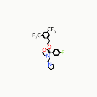 Fc1ccc([C@H]2[C@H](OCCc3cc(C(F)(F)F)cc(C(F)(F)F)c3)OCCN2CCN2CCCC2)cc1